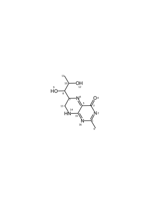 CC1=NC(=O)C2=NC(C(O)C(C)O)CNC2=N1